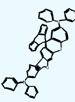 c1ccc(N(c2ccccc2)c2ccc3c(c2)C2(c4cc5c(cc4S3)oc3cc(N(c4ccccc4)c4ccccc4)ccc35)c3ccccc3-c3ccccc32)cc1